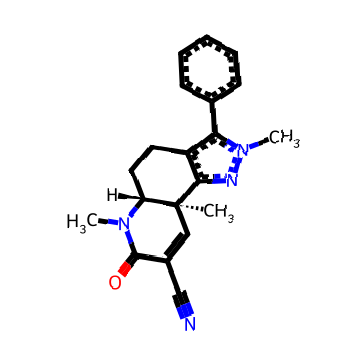 CN1C(=O)C(C#N)=C[C@]2(C)c3nn(C)c(-c4ccccc4)c3CC[C@@H]12